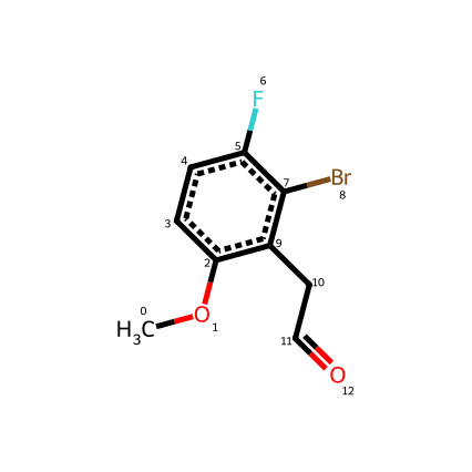 COc1ccc(F)c(Br)c1CC=O